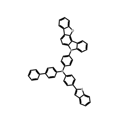 c1ccc(-c2ccc(N(c3ccc(-c4cc5ccccc5s4)cc3)c3ccc(-n4c5ccccc5c5c6oc7ccccc7c6ccc54)cc3)cc2)cc1